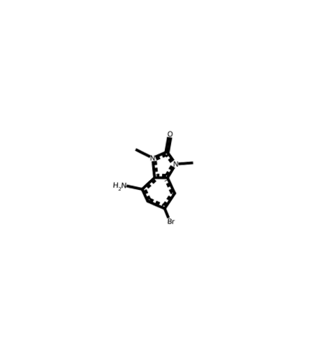 Cn1c(=O)n(C)c2c(N)cc(Br)cc21